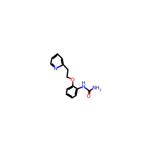 NC(=O)Nc1ccccc1OCCc1ccccn1